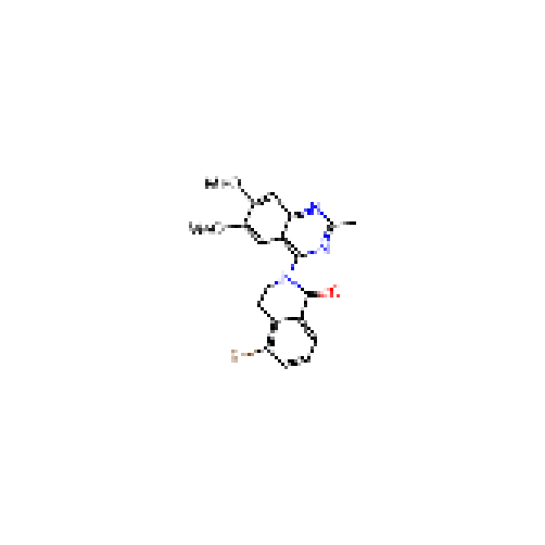 COc1cc2nc(C)nc(N3CCc4c(Br)cccc4C3=O)c2cc1OC